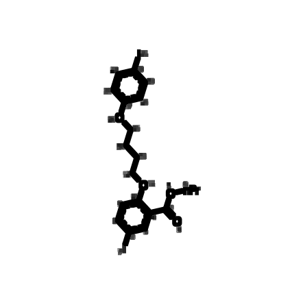 CCCOC(=O)c1cc(I)ccc1OCCCCOc1ccc(I)cc1